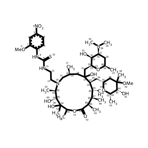 COc1cc([N+](=O)[O-])ccc1NC(=S)NCCN1C[C@@H](C)CC(O)(C[C@@H]2O[C@H](C)C[C@H](N(C)C)[C@@H]2O)[C@@H](C[C@@H]2CC(C)(OC)[C@H](O)[C@H](C)O2)[C@H](C)[C@@H](C)[C@@H](C)C(=O)OC(C)C(C)(O)[C@H](O)[C@H]1C